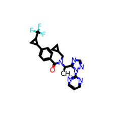 CC(c1ncnn1-c1ncccn1)N(CC1CC1)C(=O)c1ccc(C2CC2C(F)(F)F)cc1